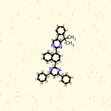 CC1(C)c2ccccc2-c2cnc(-c3ccc(-c4nc(-c5ccccc5)cc(-c5ccccc5)n4)c4ccccc34)nc21